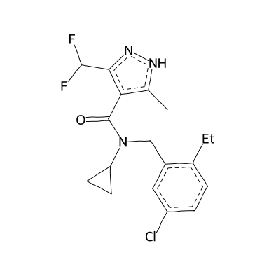 CCc1ccc(Cl)cc1CN(C(=O)c1c(C(F)F)n[nH]c1C)C1CC1